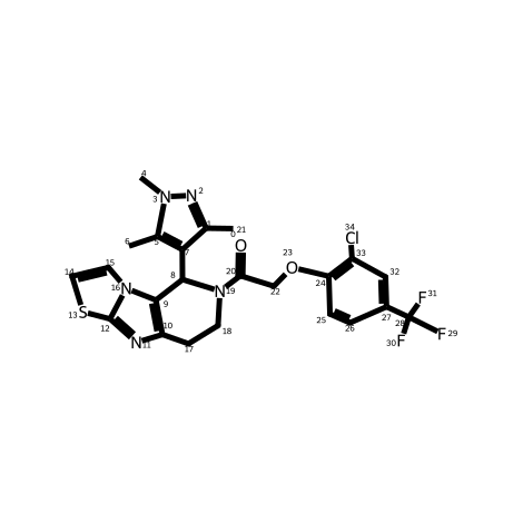 Cc1nn(C)c(C)c1C1c2c(nc3sccn23)CCN1C(=O)COc1ccc(C(F)(F)F)cc1Cl